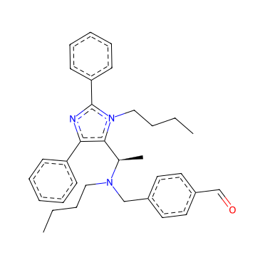 CCCCN(Cc1ccc(C=O)cc1)[C@H](C)c1c(-c2ccccc2)nc(-c2ccccc2)n1CCCC